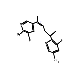 C/C(=C/CC(C)c1ncc(C(F)(F)F)cc1F)c1cnc(C(C)C)c(F)c1